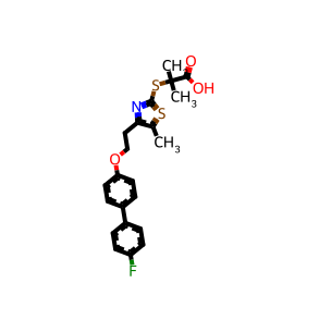 Cc1sc(SC(C)(C)C(=O)O)nc1CCOc1ccc(-c2ccc(F)cc2)cc1